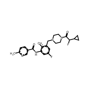 Cc1ccc(C(=O)Nc2cc(F)cc(CN3CCN(C(=O)C(F)C4CC4)CC3)c2C)cn1